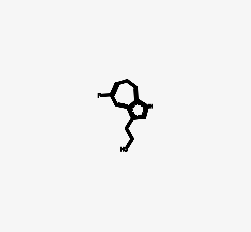 OCCc1c[nH]c2c1=CC(F)=CCC=2